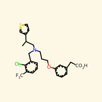 CC(CN(CCCOc1cccc(CC(=O)O)c1)Cc1cccc(C(F)(F)F)c1Cl)c1ccsc1